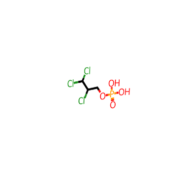 O=P(O)(O)OCC(Cl)C(Cl)Cl